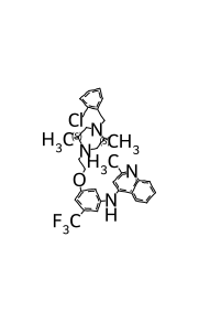 Cc1cc(Nc2cc(OCCN3C[C@H](C)N(Cc4ccccc4Cl)C[C@@H]3C)cc(C(F)(F)F)c2)c2ccccc2n1